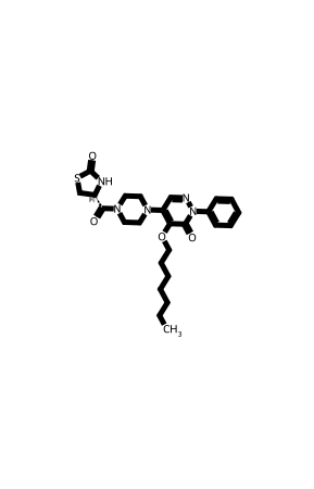 CCCCCCCOc1c(N2CCN(C(=O)[C@@H]3CSC(=O)N3)CC2)cnn(-c2ccccc2)c1=O